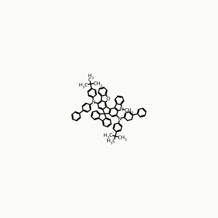 Cn1c2ccccc2c2c3c(cc(N(C4=CC=C(c5ccccc5)CC4)c4ccc(C(C)(C)C)cc4)c21)C1(c2ccccc2-c2ccccc21)c1cc(N(c2ccc(-c4ccccc4)cc2)c2ccc(C(C)(C)C)cc2)c2c(oc4ccccc42)c1-3